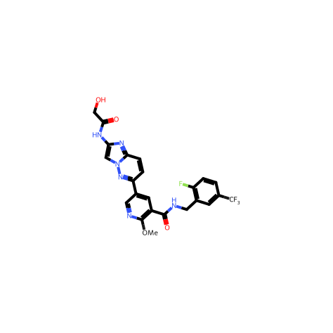 COc1ncc(-c2ccc3nc(NC(=O)CO)cn3n2)cc1C(=O)NCc1cc(C(F)(F)F)ccc1F